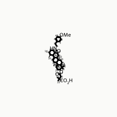 COc1ccc(CCNC(=O)[C@]23CC[C@@H](C)[C@H](C)C2C2=CC[C@@H]4[C@@]5(C)CC[C@H](OC(=O)CC(C)(C)C(=O)O)C(C)(C)[C@@H]5CC[C@@]4(C)[C@]2(C)CC3)cc1